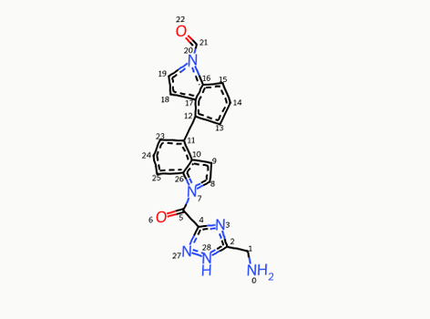 NCc1nc(C(=O)n2ccc3c(-c4cccc5c4ccn5C=O)cccc32)n[nH]1